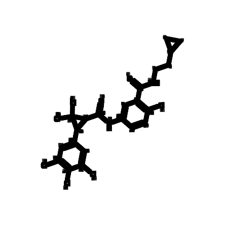 O=C(NCCC1CC1)c1cc(NC(=O)C2C(c3cc(Cl)c(Cl)c(Cl)c3)C2(Cl)Cl)ccc1Cl